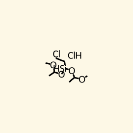 COC(C)O[SiH](CCCl)OC(C)OC.Cl